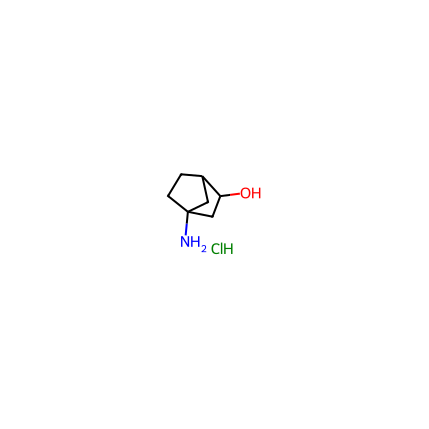 Cl.NC12CCC(C1)C(O)C2